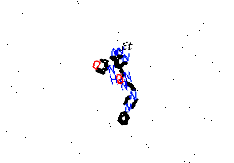 CCn1ncc2c(NC3CCOCC3)c(-c3nc(CN4CCN(c5ccccc5)CC4)no3)cnc21